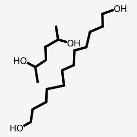 CC(O)CCC(C)O.OCCCCCCCCCCCCO